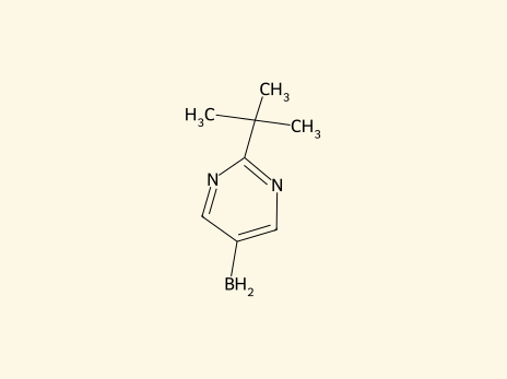 Bc1cnc(C(C)(C)C)nc1